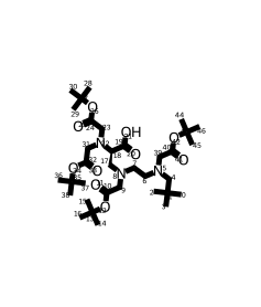 CC(C)(C)CN(CCN(CC(=O)OC(C)(C)C)C[C@H](C(=O)O)N(CC(=O)OC(C)(C)C)CC(=O)OC(C)(C)C)CC(=O)OC(C)(C)C